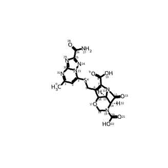 Cc1cc(SCC2=C(C(=O)O)N3C(=O)[C@@H]4[C@H]3C2OCN4C(=O)O)n2nc(C(N)=O)nc2n1